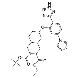 CCOC(=O)C1CC2CC(Oc3cc(-n4cccc4)ccc3-c3nn[nH]n3)CCC2CN1C(=O)OC(C)(C)C